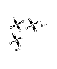 [Bi+3].[Bi+3].[O]=[W](=[O])([O-])[O-].[O]=[W](=[O])([O-])[O-].[O]=[W](=[O])([O-])[O-]